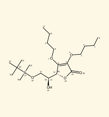 CCCCOC1=C(OCCCC)[C@@H]([C@@H](O)CO[Si](C)(C)C(C)(C)C)OC1=O